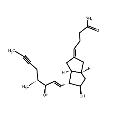 CC#CC[C@@H](C)[C@H](O)C=C[C@@H]1[C@H]2CC(=CCCC(N)=O)C[C@H]2C[C@H]1O